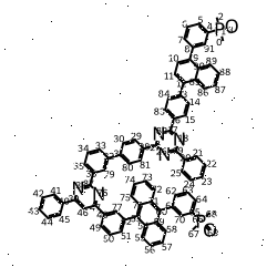 CP(C)(=O)c1cccc(-c2ccc(-c3ccc(-c4nc(-c5ccccc5)nc(-c5ccc(-c6cccc(-c7nc(-c8ccccc8)cc(-c8cccc(-c9c%10ccccc%10c(-c%10cccc(P(C)(C)=O)c%10)c%10ccccc9%10)c8)n7)c6)cc5)n4)cc3)c3ccccc23)c1